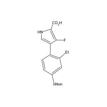 CCCCCCCCCc1ccc(-c2c[nH]c(C(=O)O)c2F)c(CC)c1